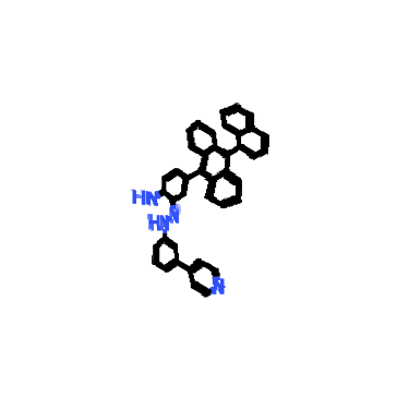 N=C1C=CC(c2c3ccccc3c(-c3cccc4ccccc34)c3ccccc23)=C/C1=N/Nc1cccc(-c2ccncc2)c1